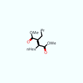 CCCCCCC(C(=O)OC)=C(CC(C)C)C(=O)OC